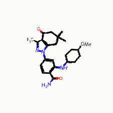 COC1CCC(Nc2cc(-n3nc(C(F)(F)F)c4c3CC(C)(C)CC4=O)ccc2C(N)=O)CC1